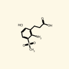 CS(=O)(=O)c1cccc(CCC(=O)O)c1N.Cl